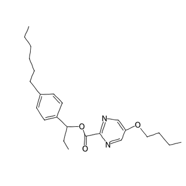 CCCCCCc1ccc(C(CC)OC(=O)c2ncc(OCCCC)cn2)cc1